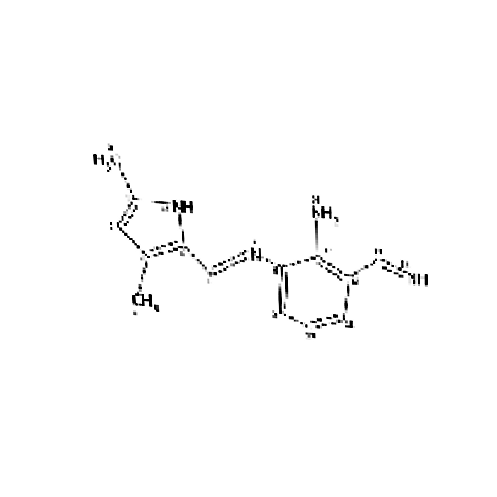 Cc1cc(C)c(/C=N/c2cccc(C=N)c2N)[nH]1